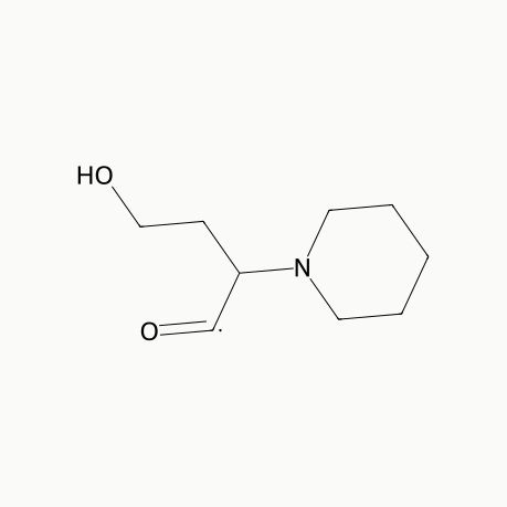 O=[C]C(CCO)N1CCCCC1